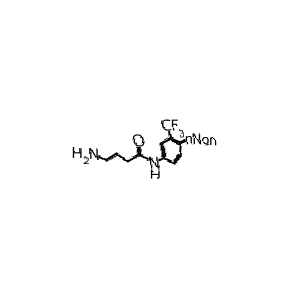 CCCCCCCCCc1ccc(NC(=O)CCCN)cc1C(F)(F)F